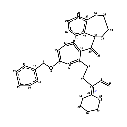 C=C/C(CCC1=NC(OCc2ccccc2)=CC=C=C1C(=C)C1CCCCc2ncccc21)=C1/CCCCO1